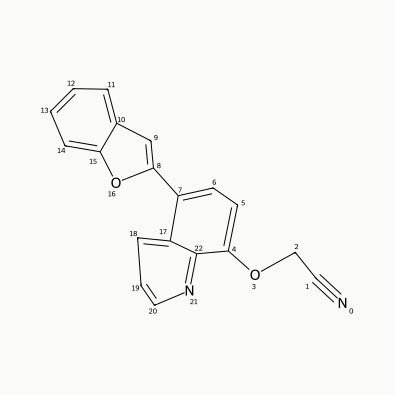 N#CCOc1ccc(-c2cc3ccccc3o2)c2cccnc12